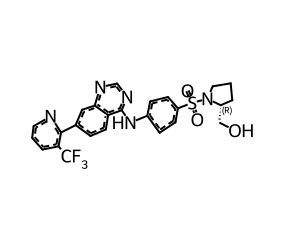 O=S(=O)(c1ccc(Nc2ncnc3cc(-c4ncccc4C(F)(F)F)ccc23)cc1)N1CCC[C@@H]1CO